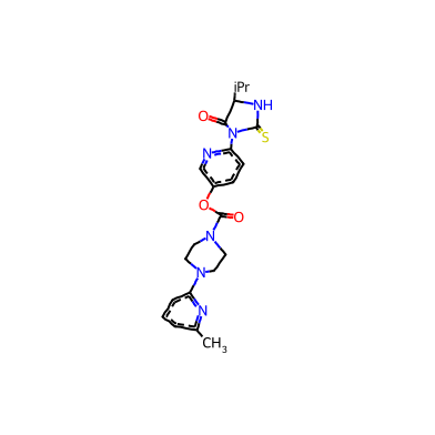 Cc1cccc(N2CCN(C(=O)Oc3ccc(N4C(=O)C(C(C)C)NC4=S)nc3)CC2)n1